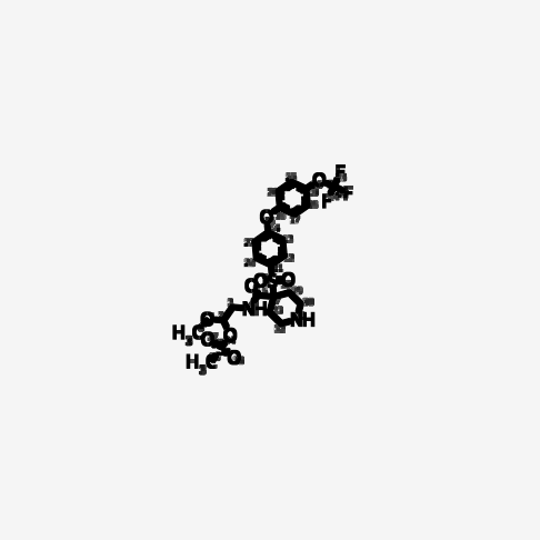 COC(CNC(=O)C1(S(=O)(=O)c2ccc(Oc3ccc(OC(F)(F)F)cc3)cc2)CCNCC1)OS(C)(=O)=O